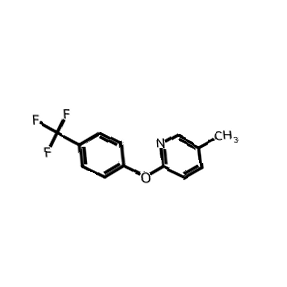 Cc1ccc(Oc2ccc(C(F)(F)F)cc2)nc1